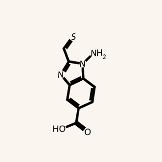 Nn1c(C=S)nc2cc(C(=O)O)ccc21